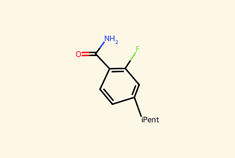 CCCC(C)c1ccc(C(N)=O)c(F)c1